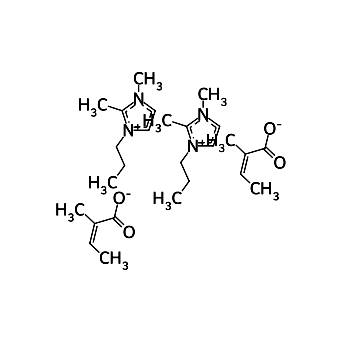 CC=C(C)C(=O)[O-].CC=C(C)C(=O)[O-].CCC[n+]1ccn(C)c1C.CCC[n+]1ccn(C)c1C